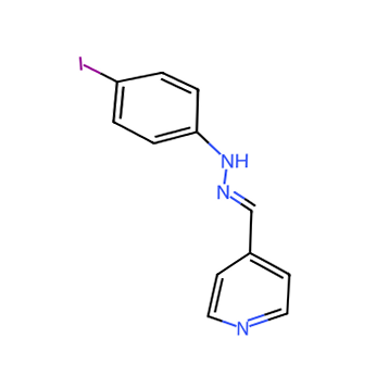 Ic1ccc(NN=Cc2ccncc2)cc1